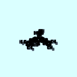 CC(=O)ON=C1c2cc(S(=O)(=O)N3C[C@H](C)C[C@H](C)C3)ccc2C(=NOP(=O)(O)O)c2ccc(S(=O)(=O)N3C[C@H](C)C[C@H](C)C3)cc21